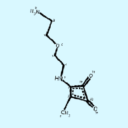 Cc1c(NCCOCCN)c(=O)c1=O